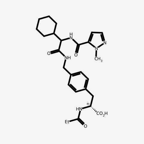 CCC(=O)N[C@H](Cc1ccc(CNC(=O)C(NC(=O)c2ccnn2C)C2CCCCC2)cc1)C(=O)O